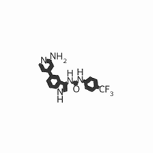 Nc1cc(-c2ccc3[nH]cc(NC(=O)Nc4ccc(C(F)(F)F)cc4)c3c2)ccn1